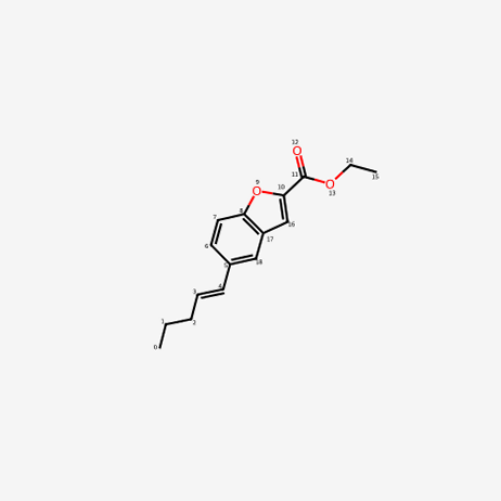 CCCC=Cc1ccc2oc(C(=O)OCC)cc2c1